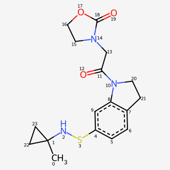 CC1(NSc2ccc3c(c2)N(C(=O)CN2CCOC2=O)CC3)CC1